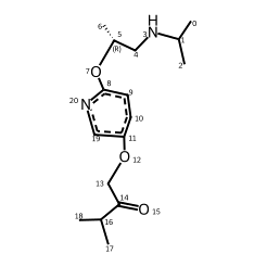 CC(C)NC[C@@H](C)Oc1ccc(OCC(=O)C(C)C)cn1